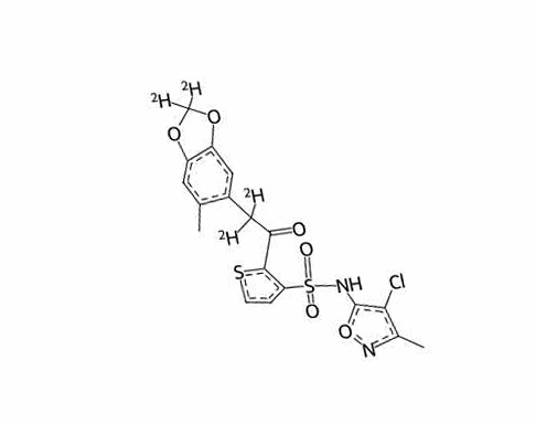 [2H]C1([2H])Oc2cc(C)c(C([2H])([2H])C(=O)c3sccc3S(=O)(=O)Nc3onc(C)c3Cl)cc2O1